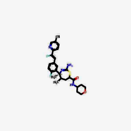 CC1CC(C(=O)NC2CCOCC2)SC(N)=N[C@]1(C)c1cc(/C=C(\F)c2ccc(C#N)cn2)ccc1F